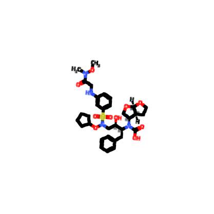 CON(C)C(=O)CNc1cccc(S(=O)(=O)N(C[C@@H](O)[C@H](Cc2ccccc2)N(C(=O)O)[C@H]2CO[C@H]3OCC[C@H]32)OC2CCCC2)c1